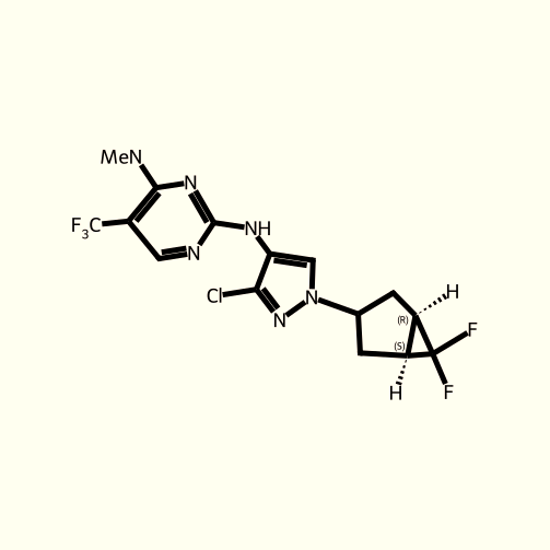 CNc1nc(Nc2cn(C3C[C@@H]4[C@H](C3)C4(F)F)nc2Cl)ncc1C(F)(F)F